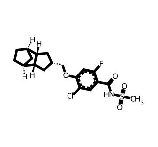 CS(=O)(=O)NC(=O)c1cc(Cl)c(OC[C@@H]2C[C@@H]3[C@H]4CC[C@H](C4)[C@@H]3C2)cc1F